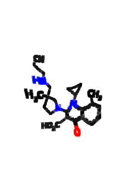 Cc1cccc2c(=O)c(C(=O)O)c(N3CCC(C)(CNCCC#N)C3)n(C3CC3)c12